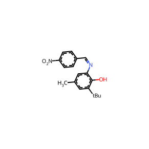 Cc1cc(/N=C\c2ccc([N+](=O)[O-])cc2)c(O)c(C(C)(C)C)c1